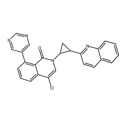 O=c1c2c(-c3cncnc3)cccc2c(Cl)cn1C1CC1c1ccc2ccccc2n1